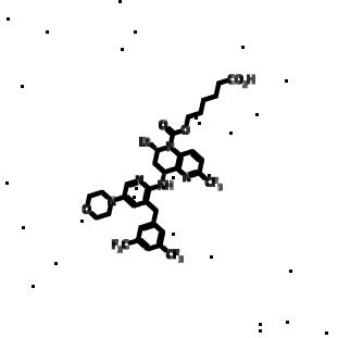 CC[C@@H]1C[C@H](Nc2ncc(N3CCOCC3)cc2Cc2cc(C(F)(F)F)cc(C(F)(F)F)c2)c2nc(C(F)(F)F)ccc2N1C(=O)OCCCCCC(=O)O